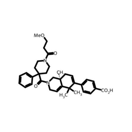 COCCC(=O)N1CCC(C(=O)N2CC=C3C(C)(C)C(c4ccc(C(=O)O)cc4)=CC[C@]3(C)C2)(c2ccccc2)CC1